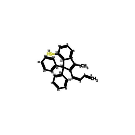 C=C/C=C\C1=C(C)c2cccc(S)c2C1(c1ccccc1)c1ccccc1